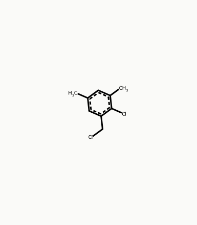 Cc1cc(C)c(Cl)c(CCl)c1